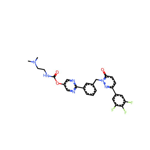 CN(C)CCNC(=O)Oc1cnc(-c2cccc(Cn3nc(-c4cc(F)c(F)c(F)c4)ccc3=O)c2)nc1